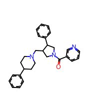 O=C(c1cccnc1)N1CC(CN2CCC(c3ccccc3)CC2)C(c2ccccc2)C1